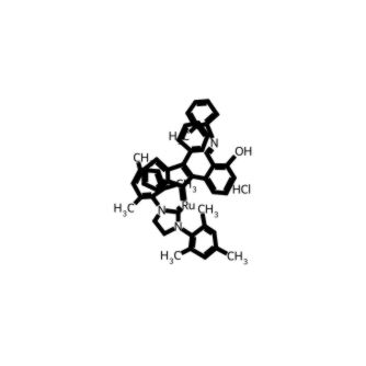 Cc1cc(C)c(N2CCN(c3c(C)cc(C)cc3C)[C]2=[Ru]=[C]2C(c3cccc(O)c3C=Nc3ccccc3C)=C(c3ccccc3)c3ccccc32)c(C)c1.Cl